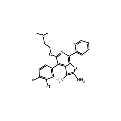 CN(C)CCOc1nc(-c2ccccn2)c2oc(N)c(N)c2c1-c1ccc(F)c(Cl)c1